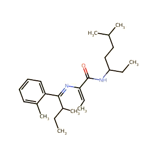 C/C=C(\N=C(\c1ccccc1C)C(C)CC)C(=O)NC(CC)CCC(C)C